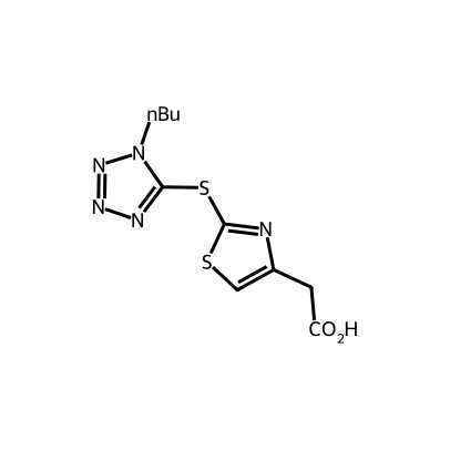 CCCCn1nnnc1Sc1nc(CC(=O)O)cs1